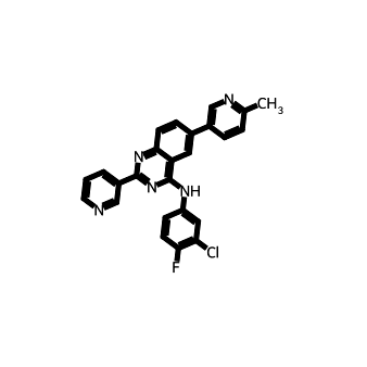 Cc1ccc(-c2ccc3nc(-c4cccnc4)nc(Nc4ccc(F)c(Cl)c4)c3c2)cn1